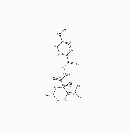 COc1ccc(C(=O)CNC(=O)[C@@]2(O)CC(C)CCC2C(C)C)cc1